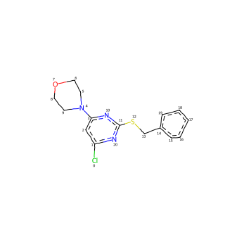 Clc1cc(N2CCOCC2)nc(SCc2ccccc2)n1